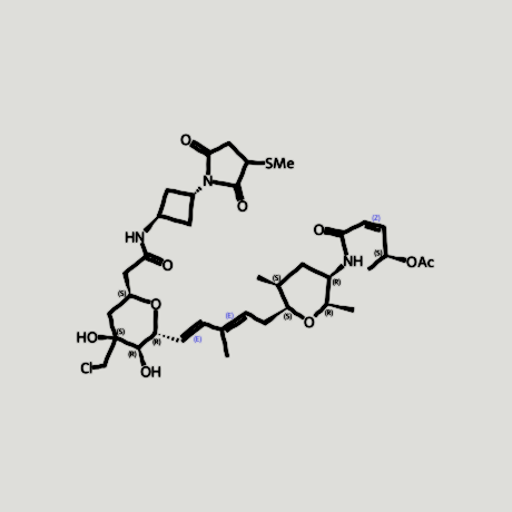 CSC1CC(=O)N([C@H]2C[C@H](NC(=O)C[C@@H]3C[C@@](O)(CCl)[C@H](O)[C@@H](/C=C/C(C)=C/C[C@@H]4O[C@H](C)[C@H](NC(=O)/C=C\[C@H](C)OC(C)=O)C[C@@H]4C)O3)C2)C1=O